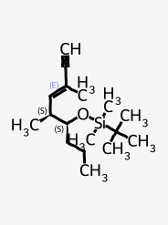 C#C/C(C)=C/[C@H](C)[C@H](CCC)O[Si](C)(C)C(C)(C)C